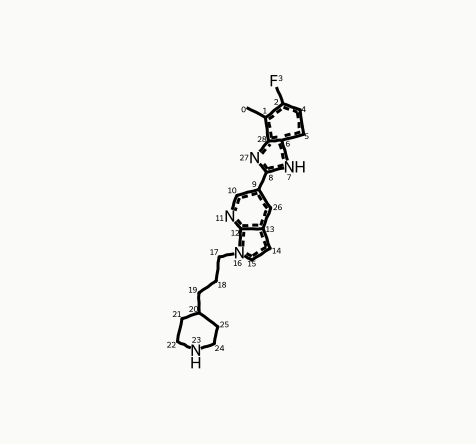 Cc1c(F)ccc2[nH]c(-c3cnc4c(ccn4CCCC4CCNCC4)c3)nc12